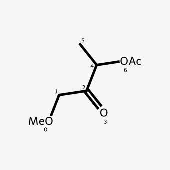 COCC(=O)C(C)OC(C)=O